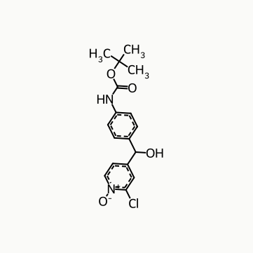 CC(C)(C)OC(=O)Nc1ccc(C(O)c2cc[n+]([O-])c(Cl)c2)cc1